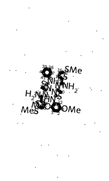 COc1ccc(OC)c(Nc2nc(N=C(N)c3ccc(SC)s3)cs2)c1.CSc1ccc(C(N)=Nc2csc(Nc3ccccc3)n2)s1